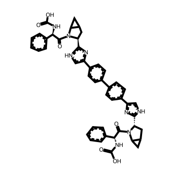 O=C(O)N[C@@H](C(=O)N1C2CC2C[C@H]1c1nc(-c2ccc(-c3ccc(-c4c[nH]c([C@@H]5CC6CC6N5C(=O)[C@H](NC(=O)O)c5ccccc5)n4)cc3)cc2)c[nH]1)c1ccccc1